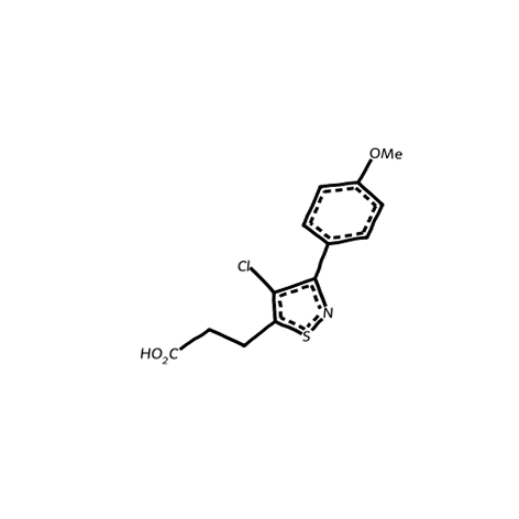 COc1ccc(-c2nsc(CCC(=O)O)c2Cl)cc1